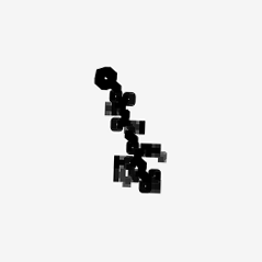 NC(OCCNC(=O)CNC(=O)OCc1ccccc1)C(O)C[C@H](N)C(=O)O